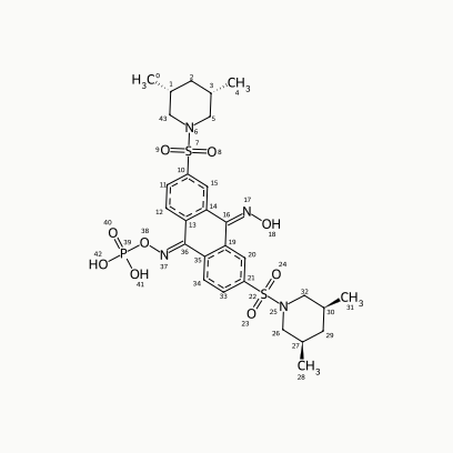 C[C@@H]1C[C@H](C)CN(S(=O)(=O)c2ccc3c(c2)C(=NO)c2cc(S(=O)(=O)N4C[C@H](C)C[C@H](C)C4)ccc2C3=NOP(=O)(O)O)C1